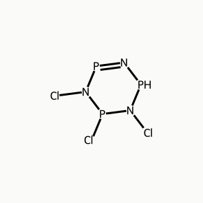 Cln1pn[pH]n(Cl)p1Cl